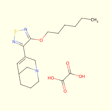 CCCCCCOc1nsnc1C1=CC2CCCN(C1)C2.O=C(O)C(=O)O